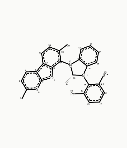 Cc1ccc2c(n1)oc1c(N3c4ccccc4N(c4c(C(C)C)cccc4C(C)C)[C@@H]3C)c(C)ccc12